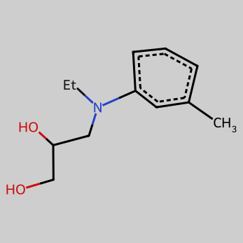 CCN(CC(O)CO)c1cccc(C)c1